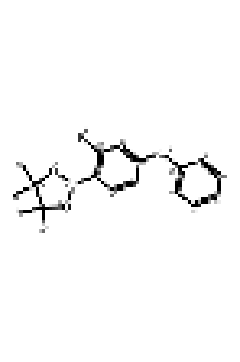 CC1(C)OB(c2ccc(Oc3ccccc3)cc2F)OC1(C)C